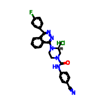 C[C@H]1CN(C(=O)Nc2ccc(C#N)cc2)CCN1c1nnc(-c2ccc(F)cc2)c2ccccc12.Cl